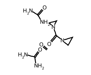 C=O.NC(N)=O.NC(N)=O.O=C(N1CC1)N1CC1